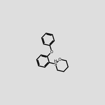 c1ccc(Oc2ccccc2[SiH]2CCCCO2)cc1